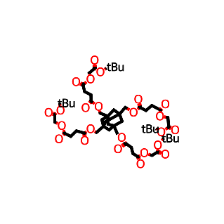 CC(C)(C)OC(=O)COC(=O)CCC(=O)OCC12CC3(COC(=O)CCC(=O)OCC(=O)OC(C)(C)C)CC(COC(=O)CCC(=O)OCC(=O)OC(C)(C)C)(C1)CC(COC(=O)CCC(=O)OCC(=O)OC(C)(C)C)(C2)C3